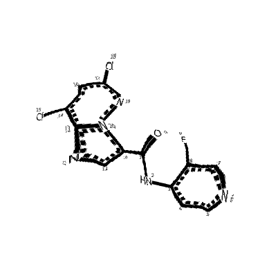 O=C(Nc1ccncc1F)c1cnc2c(Cl)cc(Cl)nn12